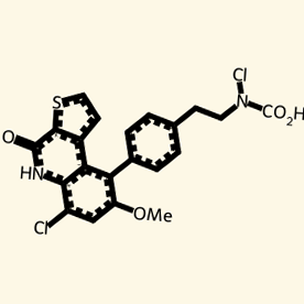 COc1cc(Cl)c2[nH]c(=O)c3sccc3c2c1-c1ccc(CCN(Cl)C(=O)O)cc1